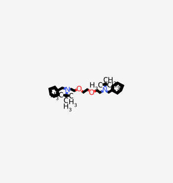 CC(C)(C)N(CCOCCOCCN(Cc1ccccc1)C(C)(C)C)Cc1ccccc1